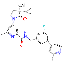 Cc1cc(-c2cc(F)cc(CNC(=O)c3cc(N4CC[C@@](C#N)(C5CC5)C4=O)cc(C)n3)c2)ccn1